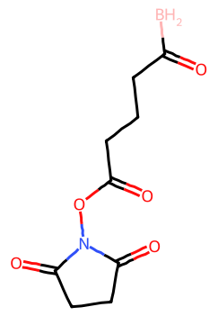 BC(=O)CCCC(=O)ON1C(=O)CCC1=O